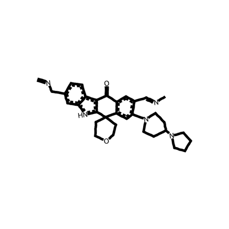 C=NCc1ccc2c3c([nH]c2c1)C1(CCOCC1)c1cc(N2CCC(N4CCCC4)CC2)c(/C=N/C)cc1C3=O